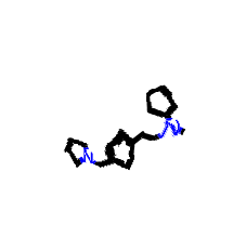 CN(CCc1ccc(CN2CCCC2)cc1)C1CC=CCC1